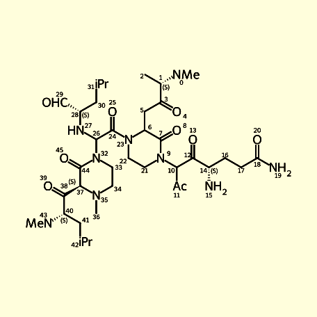 CN[C@@H](C)C(=O)CC1C(=O)N(C(C(C)=O)C(=O)[C@@H](N)CCC(N)=O)CCN1C(=O)C(N[C@H](C=O)CC(C)C)N1CCN(C)[C@@H](C(=O)[C@H](CC(C)C)NC)C1=O